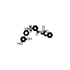 O=C(NCC(Cc1ccccc1)C(=O)O)c1cccc(S(=O)(=O)N[C@H]2CC[C@@H](c3ccc(O)cc3O)CC2)c1